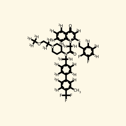 [2H]c1c([2H])c(F)c(F)c(CSc2c([2H])c(=O)c3c([2H])c([2H])c([2H])c([2H])c3n2C([2H])([2H])C(=O)N(C2CCN(C([2H])([2H])COC([2H])([2H])[2H])CC2)C([2H])([2H])c2c([2H])c([2H])c(-c3c([2H])c([2H])c(C(F)(F)F)c(C)c3[2H])c([2H])c2[2H])c1[2H]